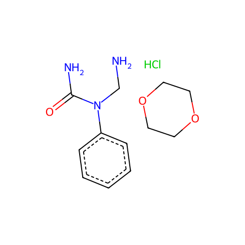 C1COCCO1.Cl.NCN(C(N)=O)c1ccccc1